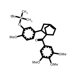 COc1ccc(C2CC3=CCC2(C(=O)c2cc(OC)c(OC)c(OC)c2)C3)cc1O[Si](C)(C)C(C)(C)C